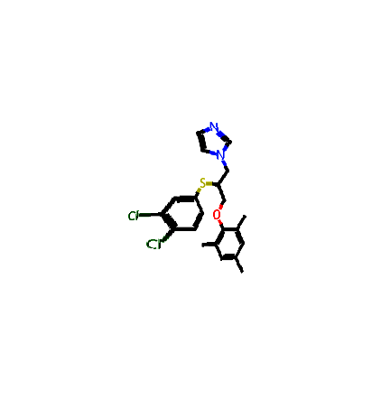 Cc1cc(C)c(OCC(Cn2ccnc2)Sc2ccc(Cl)c(Cl)c2)c(C)c1